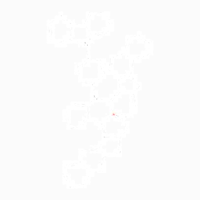 c1ccc(N(c2ccc(-n3c4ccccc4c4ccccc43)cc2)c2cccc3oc4c5ccccc5ccc4c23)c(-c2cccc3oc4cc5ccccc5cc4c23)c1